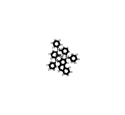 CC[Si]12c3c4cccc3N(c3ccccc3)C3C=CC=C(C31)N(c1ccccc1)c1c2c(cc2c1ccc1ccccc12)N4c1ccccc1